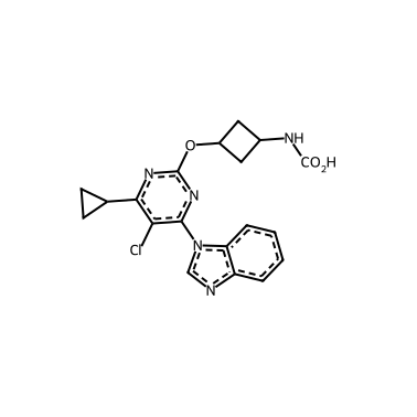 O=C(O)NC1CC(Oc2nc(C3CC3)c(Cl)c(-n3cnc4ccccc43)n2)C1